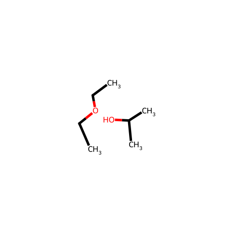 CC(C)O.CCOCC